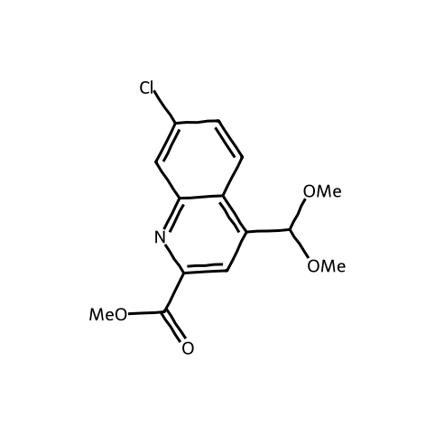 COC(=O)c1cc(C(OC)OC)c2ccc(Cl)cc2n1